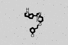 Clc1cccc(CCOc2ccc3ncc(-c4ccc5cc[nH]c5c4)n3n2)c1